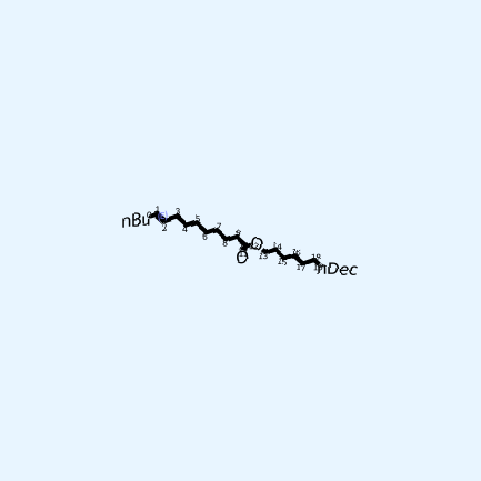 CCCC/C=C/CCCCCCCC(=O)OCCCCCCCCCCCCCCCC